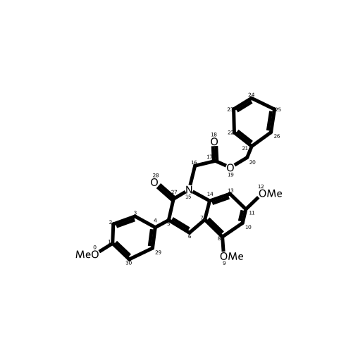 COc1ccc(-c2cc3c(OC)cc(OC)cc3n(CC(=O)OCc3ccccc3)c2=O)cc1